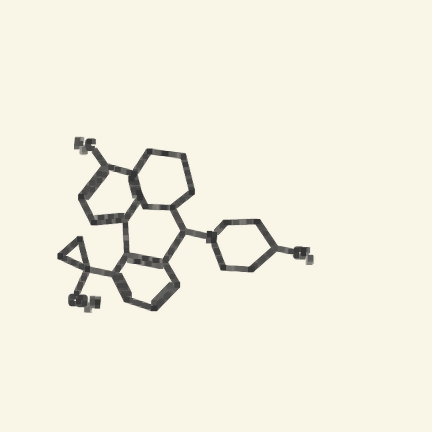 O=C(O)C1(c2cccc(C(C3CCCCC3)N3CCC(C(F)(F)F)CC3)c2-c2ccc(C(F)(F)F)cc2)CC1